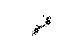 CC/C(=N\OCCOc1cccc(CC(=O)O)c1F)c1ccc(C(F)(F)F)cc1